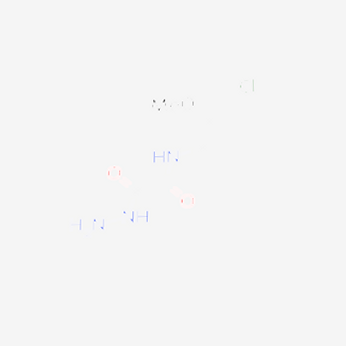 COc1c(Cl)cccc1NC(=O)C(=O)NN